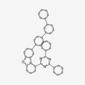 c1ccc(-c2cccc(-c3ccc(-c4ccc5oc6cccc(-c7nc(-c8ccccc8)nc(-c8ccccc8)n7)c6c5c4)cc3)c2)cc1